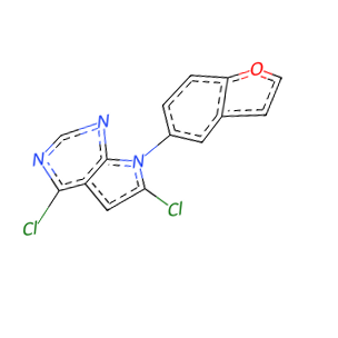 Clc1ncnc2c1cc(Cl)n2-c1ccc2occc2c1